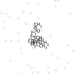 CCOC(=O)C(F)C[C@H](F)C(C)(N[S@+]([O-])C(C)(C)C)c1ccccc1F